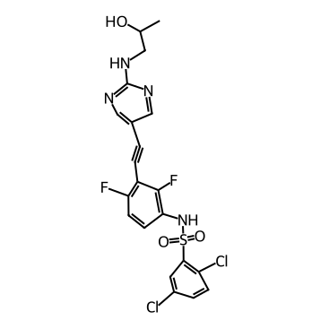 CC(O)CNc1ncc(C#Cc2c(F)ccc(NS(=O)(=O)c3cc(Cl)ccc3Cl)c2F)cn1